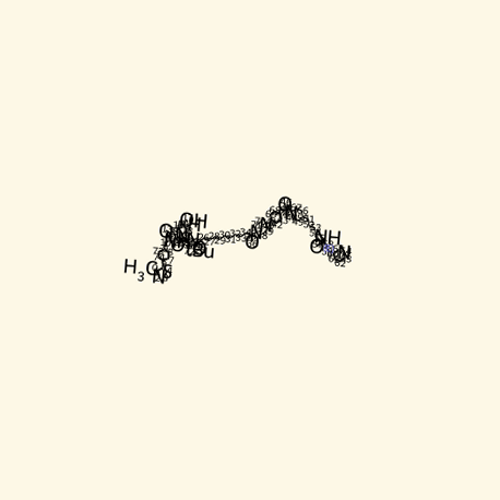 Cc1ncsc1-c1ccc(CNC(=O)[C@@H]2C[C@@H](O)CN2C(=O)[C@@H](NC(=O)CCCCCCCCCC(=O)N2CCN(c3ccc(C(=O)N4CCC(CCCCNC(=O)/C=C/c5cccnc5)CC4)cc3)CC2)C(C)(C)C)cc1